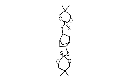 CC1(C)COP(=S)(SC2CC3CC2CC3SP2(=S)OCC(C)(C)CO2)OC1